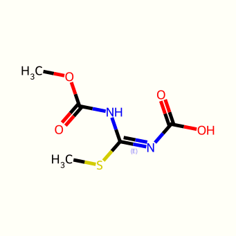 COC(=O)N/C(=N\C(=O)O)SC